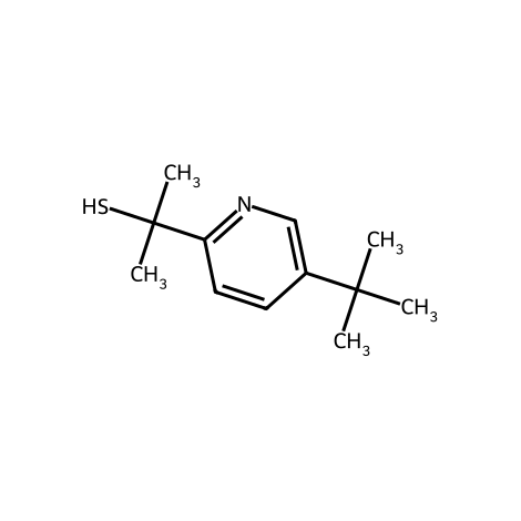 CC(C)(C)c1ccc(C(C)(C)S)nc1